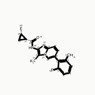 Cc1cccc(F)c1-c1ccc2nc(NC(=O)[C@@H]3C[C@@H]3F)c(C)n2c1